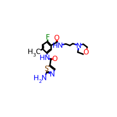 Cc1cc(F)c(C(=O)NCCCN2CCOCC2)cc1NC(=O)c1cnc(N)s1